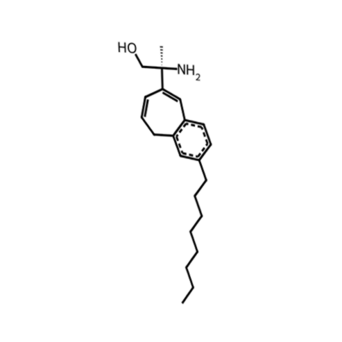 CCCCCCCCc1ccc2c(c1)CC=CC([C@](C)(N)CO)=C2